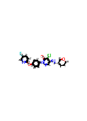 O=c1c(Cl)c(NC[C@H]2CCCOC2)cnn1-c1ccc(Oc2ccc(F)cn2)cc1